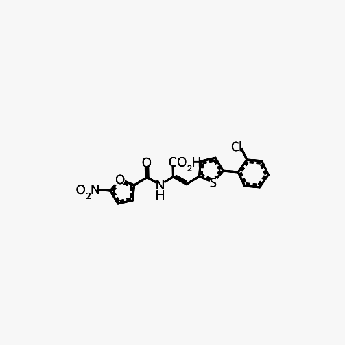 O=C(O)/C(=C\c1ccc(-c2ccccc2Cl)s1)NC(=O)c1ccc([N+](=O)[O-])o1